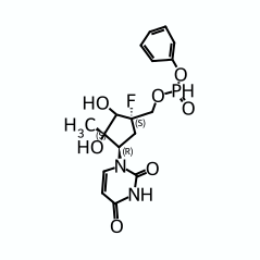 C[C@@]1(O)C(O)[C@@](F)(CO[PH](=O)Oc2ccccc2)C[C@H]1n1ccc(=O)[nH]c1=O